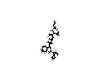 CCCC(=O)N[C@@H](c1cnn2cc([C@@H](NC(=O)[C@H]3C(F)(F)C34CCC4)C3CCC(F)(F)CC3)nc2c1)C1CC1